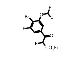 CCOC(=O)C(F)C(=O)c1cc(F)c(Br)c(OC(F)F)c1